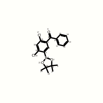 CC1(C)OB(c2cc(C(=O)c3ccccc3)c(Cl)cc2Cl)OC1(C)C